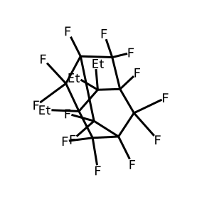 CCC1(CC)C2(F)C(F)(F)C3(F)C(F)(F)C(F)(C2(F)F)C(F)(F)C1(CC)C3(F)F